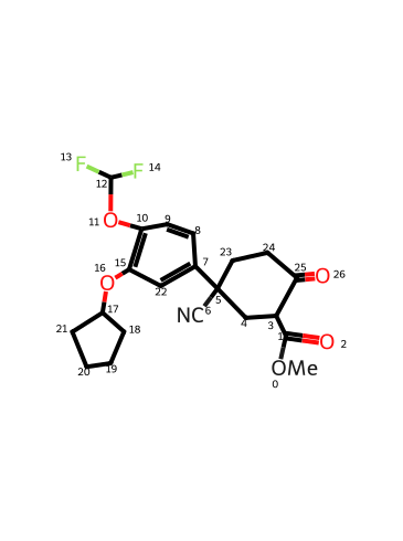 COC(=O)C1CC(C#N)(c2ccc(OC(F)F)c(OC3CCCC3)c2)CCC1=O